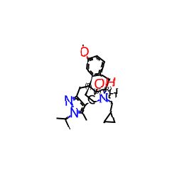 COc1ccc2c(c1)[C@]13CCN(CC4CC4)[C@H](C2)[C@]1(O)Cc1c(nn(C(C)C)c1C)C3